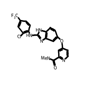 CNC(=O)c1cc(Oc2ccc3[nH]c(Nc4ccc(C(F)(F)F)cc4Cl)nc3c2)ccn1